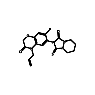 C=CCN1C(=O)COc2cc(F)c(-n3c(=O)n4n(c3=S)CCCC4)cc21